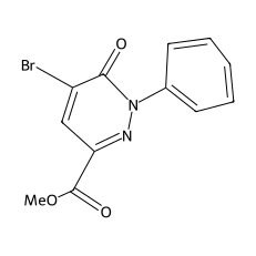 COC(=O)c1cc(Br)c(=O)n(-c2ccccc2)n1